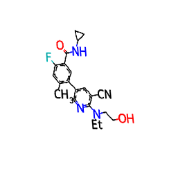 CCN(CCO)c1ncc(-c2cc(C(=O)NC3CC3)c(F)cc2C)cc1C#N